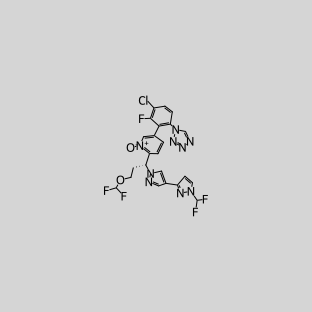 [O-][n+]1cc(-c2c(-n3cnnn3)ccc(Cl)c2F)ccc1[C@@H](CCOC(F)F)n1cc(-c2ccn(C(F)F)n2)cn1